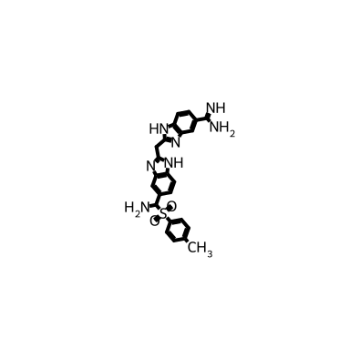 Cc1ccc(S(=O)(=O)C(N)c2ccc3[nH]c(Cc4nc5cc(C(=N)N)ccc5[nH]4)nc3c2)cc1